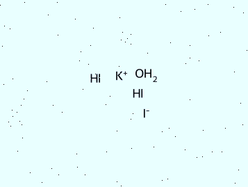 I.I.O.[I-].[K+]